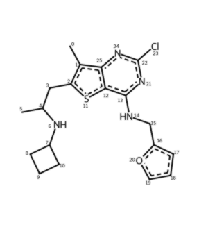 Cc1c(CC(C)NC2CCC2)sc2c(NCc3ccco3)nc(Cl)nc12